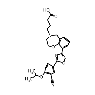 CC(C)Oc1ccc(-c2nc(-c3cccc4c3OCCN(CCCC(=O)O)C4)no2)cc1C#N